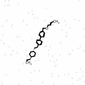 C=CC[C@H]1CC[C@H](CCc2ccc(-c3ccc(COC/C=C/C)cc3)cc2)CC1